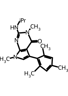 Cc1cc(C)c(-c2cn(C)c3nc(NC(C)C)n(C)c(=O)c23)c(C)c1